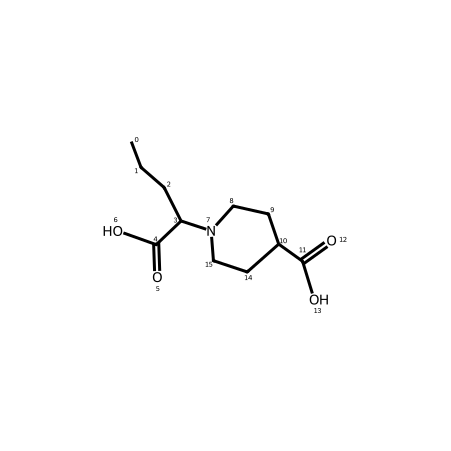 CCCC(C(=O)O)N1CCC(C(=O)O)CC1